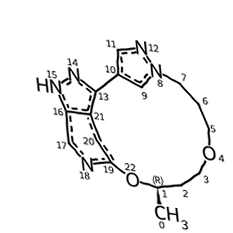 C[C@@H]1CCOCCCn2cc(cn2)-c2n[nH]c3cnc(cc23)O1